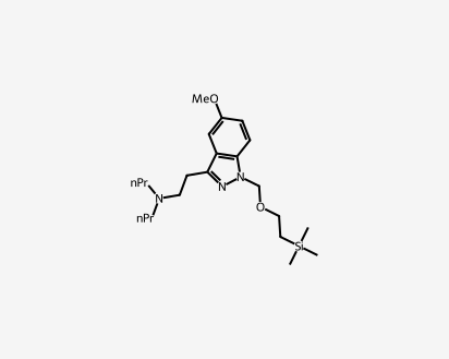 CCCN(CCC)CCc1nn(COCC[Si](C)(C)C)c2ccc(OC)cc12